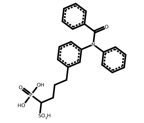 O=C(c1ccccc1)N(c1ccccc1)c1cccc(CCCC(P(=O)(O)O)S(=O)(=O)O)c1